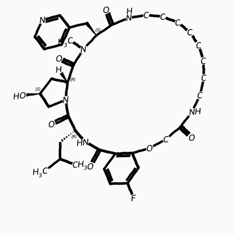 CC(C)C[C@H]1NC(=O)c2ccc(F)cc2OCC(=O)NCCCCCCCCNC(=O)[C@H](Cc2cccnc2)N(C)C(=O)[C@H]2C[C@H](O)CN2C1=O